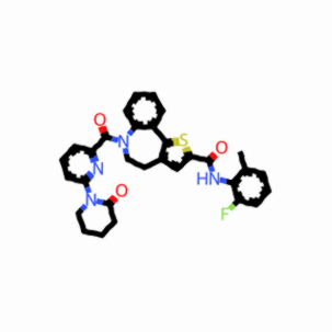 Cc1cccc(F)c1NC(=O)c1cc2c(s1)-c1ccccc1N(C(=O)c1cccc(N3CCCCC3=O)n1)CC2